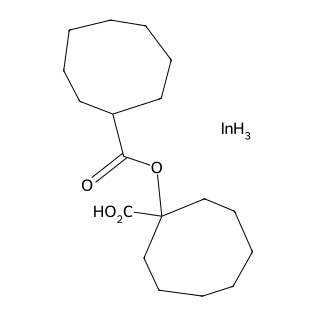 O=C(OC1(C(=O)O)CCCCCCC1)C1CCCCCCC1.[InH3]